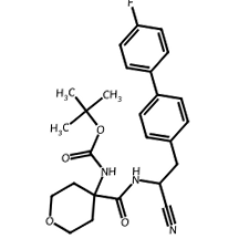 CC(C)(C)OC(=O)NC1(C(=O)NC(C#N)Cc2ccc(-c3ccc(F)cc3)cc2)CCOCC1